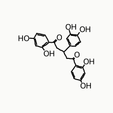 O=C(CC(CC(=O)c1ccc(O)cc1O)c1ccc(O)c(O)c1)c1ccc(O)cc1O